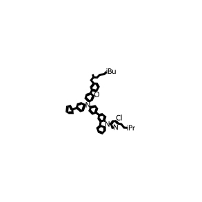 CCC(C)CCCC(C)Cc1ccc2oc3cc(N(c4ccc(-c5ccccc5)cc4)c4ccc(-c5ccc6c(c5)c5ccccc5n6-c5cnc(CCC(C)C)c(Cl)c5)cc4)ccc3c2c1